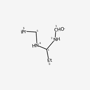 CCC(N[C]=O)NCC(C)C